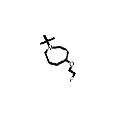 CC(C)(C)N1CCCC(OCCF)CC1